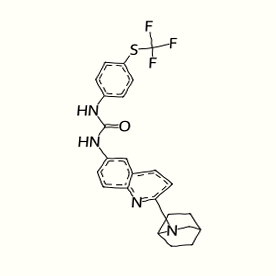 O=C(Nc1ccc(SC(F)(F)F)cc1)Nc1ccc2nc(N3CC4CCC3CC4)ccc2c1